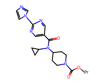 CC(C)OC(=O)N1CCC(N(C(=O)c2cnc(-n3ccnc3)nc2)C2CC2)CC1